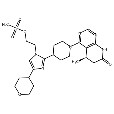 C[C@@H]1CC(=O)Nc2ncnc(N3CCC(c4nc(C5CCOCC5)cn4CCOS(C)(=O)=O)CC3)c21